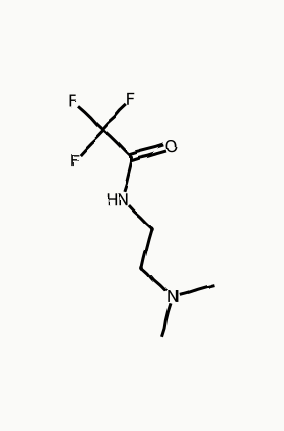 CN(C)CCNC(=O)C(F)(F)F